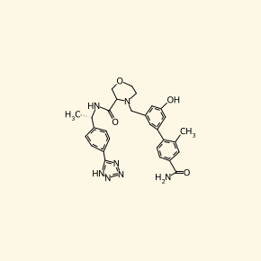 Cc1cc(C(N)=O)ccc1-c1cc(O)cc(CN2CCOCC2C(=O)N[C@@H](C)c2ccc(-c3nnn[nH]3)cc2)c1